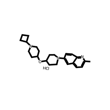 Cc1ccc2cc(N3CCC(OC4CCN(C5CCC5)CC4)CC3)ccc2n1.Cl